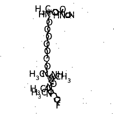 C[C@@H]1CN(CC(=O)N2CC(C)(C)c3ncc(Cc4ccc(F)cc4)cc32)[C@@H](CN(C)CCOCCOCCOCCOCCOCCOCCOCCN[C@H](C)c2ccc(C(=O)Nc3ccncc3)cc2)CN1